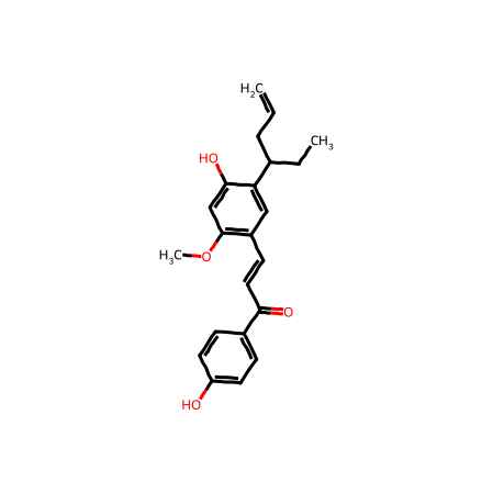 C=CCC(CC)c1cc(C=CC(=O)c2ccc(O)cc2)c(OC)cc1O